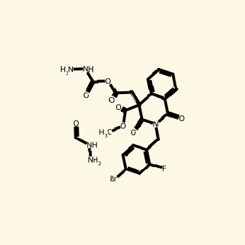 COC(=O)C1(CC(=O)OC(=O)NN)C(=O)N(Cc2ccc(Br)cc2F)C(=O)c2ccccc21.NNC=O